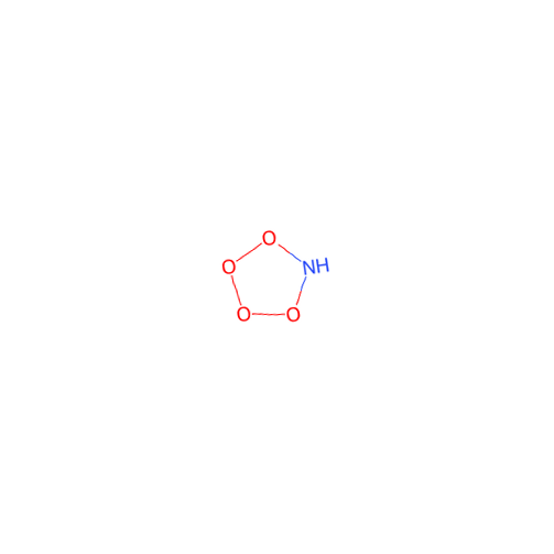 [nH]1oooo1